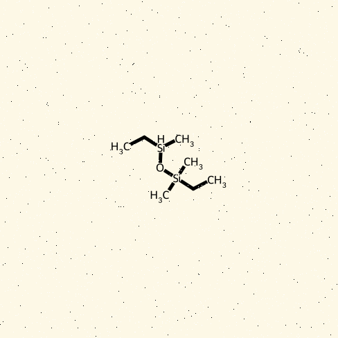 CC[SiH](C)O[Si](C)(C)CC